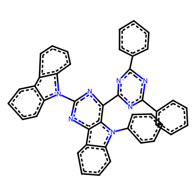 c1ccc(-c2nc(-c3ccccc3)nc(-c3nc(-n4c5ccccc5c5ccccc54)nc4c5ccccc5n(-c5ccccc5)c34)n2)cc1